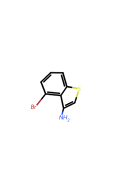 Nc1csc2cccc(Br)c12